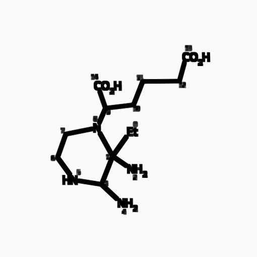 CCC1(N)C(N)NCCN1C(CCCC(=O)O)C(=O)O